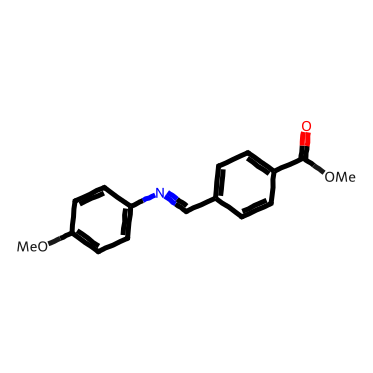 COC(=O)c1ccc(C=Nc2ccc(OC)cc2)cc1